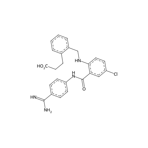 N=C(N)c1ccc(NC(=O)c2cc(Cl)ccc2NCc2ccccc2CCC(=O)O)cc1